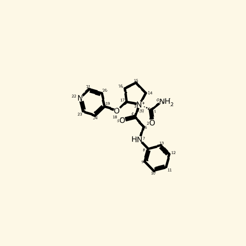 NC(=O)[N@@+]1(C(=O)CNc2ccccc2)CCCC1Oc1ccncc1